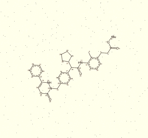 Cc1c(CCC(=O)OC(C)(C)C)cccc1NC(=O)C(c1ccc(CN2NC(c3ccccc3)=COC2=O)cc1)C1CCCC1